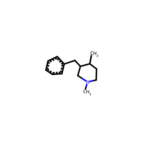 CC1CCN(C)CC1Cc1ccccc1